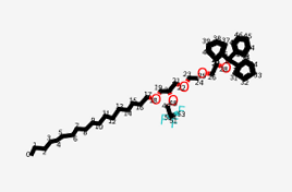 CCCCCCCCCCCCCCCCCCOCC(COCCOCCOC(c1ccccc1)(c1ccccc1)c1ccccc1)OCC(F)(F)F